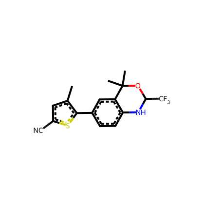 Cc1cc(C#N)sc1-c1ccc2c(c1)C(C)(C)OC(C(F)(F)F)N2